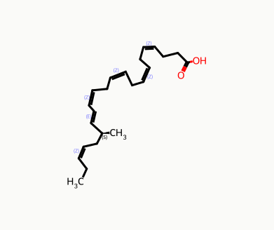 CC/C=C\C[C@H](C)/C=C/C=C\C/C=C\C/C=C\C/C=C\CCC(=O)O